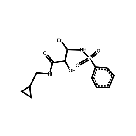 CCC(NS(=O)(=O)c1ccccc1)C(O)C(=O)NCC1CC1